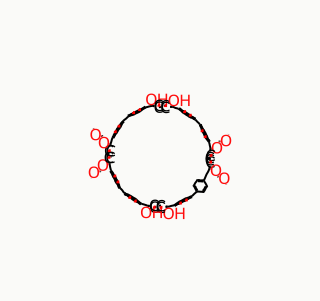 COCOC12CCC(OCOC)(CC1)c1ccc(cc1)-c1ccc(cc1)C1(O)CCC(O)(CC1)c1ccc(cc1)-c1ccc(cc1)C1(OCOC)CCC(OCOC)(CC1)c1ccc(cc1)-c1ccc(cc1)C1(O)CCC(O)(CC1)c1ccc(cc1)-c1ccc2cc1